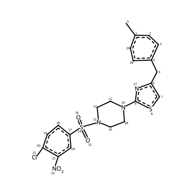 Cc1ccc(Cc2csc(N3CCN(S(=O)(=O)c4ccc(Cl)c([N+](=O)[O-])c4)CC3)n2)cc1